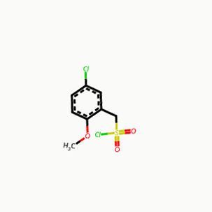 COc1ccc(Cl)cc1CS(=O)(=O)Cl